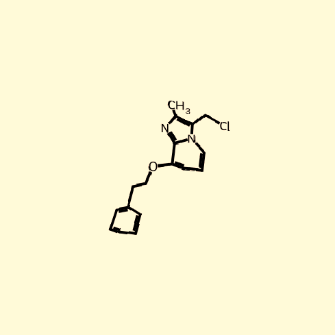 Cc1nc2c(OCCc3ccccc3)cccn2c1CCl